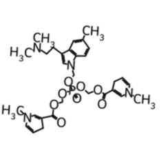 Cc1ccc2c(c1)c(CCN(C)C)cn2COP(=O)(OCOC(=O)C1=CN(C)C=CC1)OCOC(=O)C1=CN(C)C=CC1